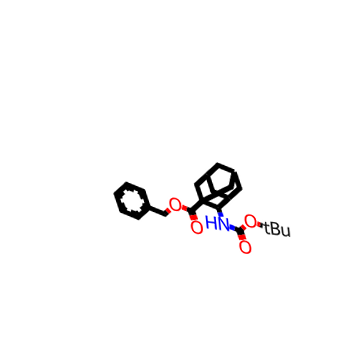 CC(C)(C)OC(=O)NC1C2CC3CC(C2)CC1(C(=O)OCc1ccccc1)C3